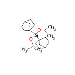 CC(C)O[Si](OC(C)C)(C12CCC(CC1)C2)C12CCC(CC1)C2